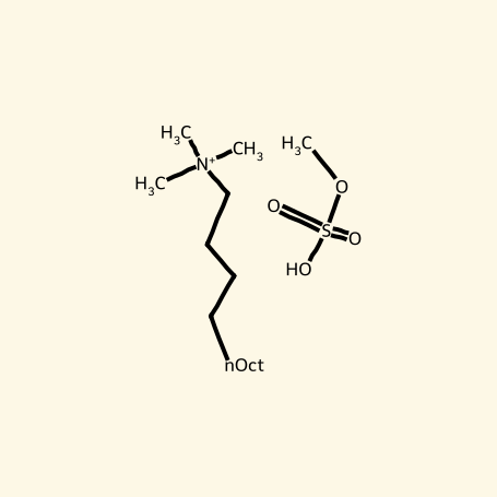 CCCCCCCCCCCC[N+](C)(C)C.COS(=O)(=O)O